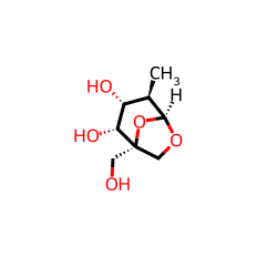 C[C@H]1[C@H]2OC[C@](CO)(O2)[C@H](O)[C@@H]1O